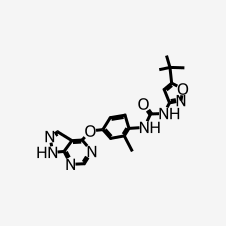 Cc1cc(Oc2ncnc3[nH]ncc23)ccc1NC(=O)Nc1cc(C(C)(C)C)on1